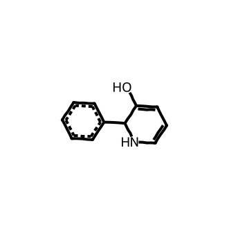 OC1=CC=CNC1c1ccccc1